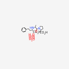 CC(NC(CCc1ccccc1)C(=O)O)C(=O)N1CCC[C@H]1C(=O)O.O.O.O.O